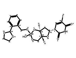 O=c1[nH]c(=O)n([C@H]2C[C@@H]3O[PH](O)(OCc4ccccc4C4OCCO4)OC[C@H]3O2)cc1F